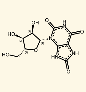 O=c1[nH]c2c(=O)[nH]c(=O)n([C@@H]3O[C@H](CO)[C@@H](O)[C@H]3O)c2[nH]1